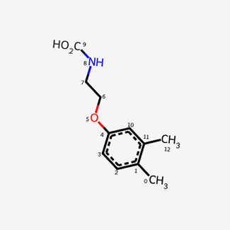 Cc1ccc(OCCNC(=O)O)cc1C